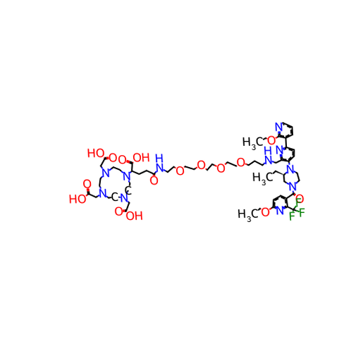 CCOc1ccc(C(=O)N2CCN(c3ccc(-c4cccnc4OCC)nc3CNCCCOCCOCCOCCOCCNC(=O)CCC(C(=O)O)N3CCN(CC(=O)O)CCN(CC(=O)O)CCN(CC(=O)O)CC3)[C@H](CC)C2)c(C(F)(F)F)n1